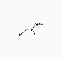 CCCB(C)OC